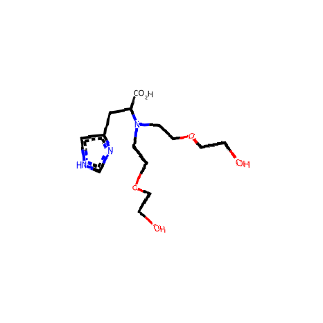 O=C(O)C(Cc1c[nH]cn1)N(CCOCCO)CCOCCO